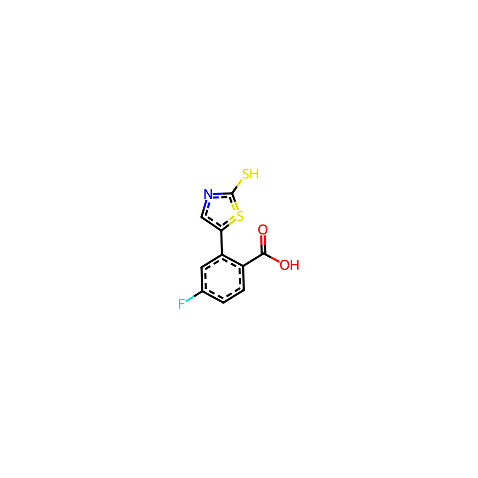 O=C(O)c1ccc(F)cc1-c1cnc(S)s1